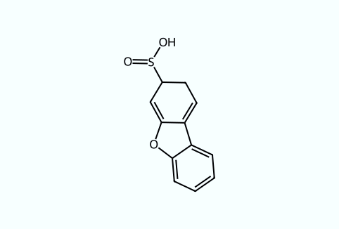 O=S(O)C1C=c2oc3ccccc3c2=CC1